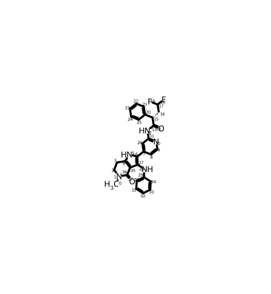 CN1CCc2[nH]c(-c3ccnc(NC(=O)[C@@H](CC(F)F)c4ccccc4)c3)c(Nc3ccccc3)c2C1=O